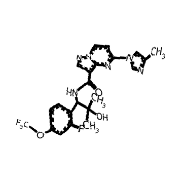 Cc1cn(-c2ccn3ncc(C(=O)NC(c4ccc(OC(F)(F)F)cc4F)C(C)(C)O)c3n2)cn1